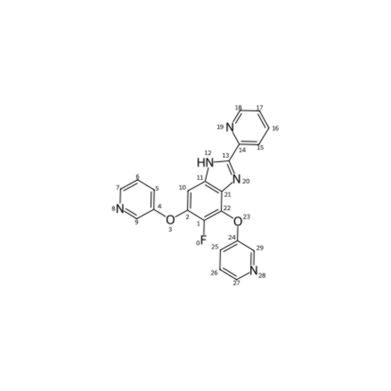 Fc1c(Oc2cccnc2)cc2[nH]c(-c3ccccn3)nc2c1Oc1cccnc1